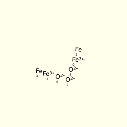 [Fe+3].[Fe+3].[Fe].[Fe].[O-2].[O-2].[O-2]